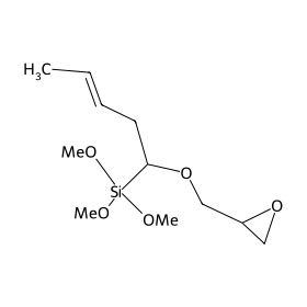 CC=CCC(OCC1CO1)[Si](OC)(OC)OC